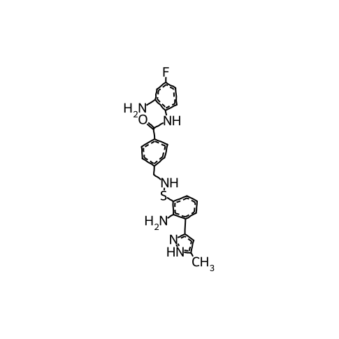 Cc1cc(-c2cccc(SNCc3ccc(C(=O)Nc4ccc(F)cc4N)cc3)c2N)n[nH]1